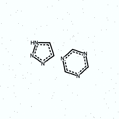 c1c[nH]nn1.c1ncncn1